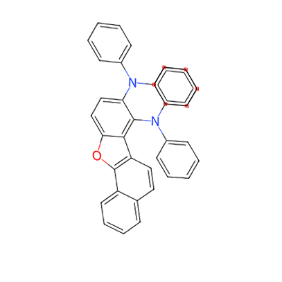 c1ccc(N(c2ccccc2)c2ccc3oc4c5ccccc5ccc4c3c2N(c2ccccc2)c2ccccc2)cc1